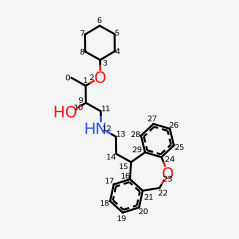 CC(OC1CCCCC1)C(O)CNCCC1c2ccccc2COc2ccccc21